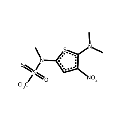 CN(C)c1sc(N(C)S(=O)(=S)C(Cl)(Cl)Cl)cc1[N+](=O)[O-]